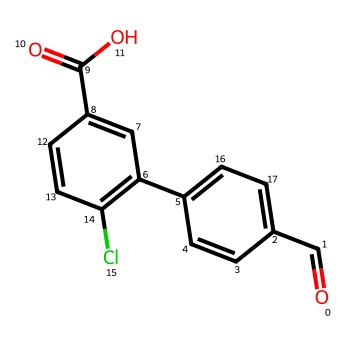 O=Cc1ccc(-c2cc(C(=O)O)ccc2Cl)cc1